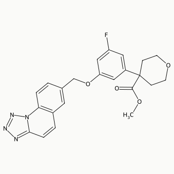 COC(=O)C1(c2cc(F)cc(OCc3ccc4c(ccc5nnnn54)c3)c2)CCOCC1